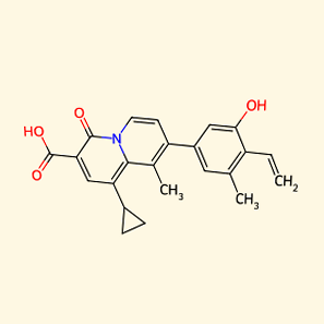 C=Cc1c(C)cc(-c2ccn3c(=O)c(C(=O)O)cc(C4CC4)c3c2C)cc1O